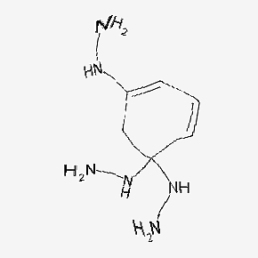 NNC1=CC=CC(NN)(NN)C1